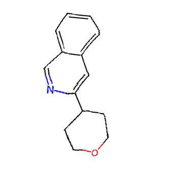 c1ccc2cc(C3CCOCC3)ncc2c1